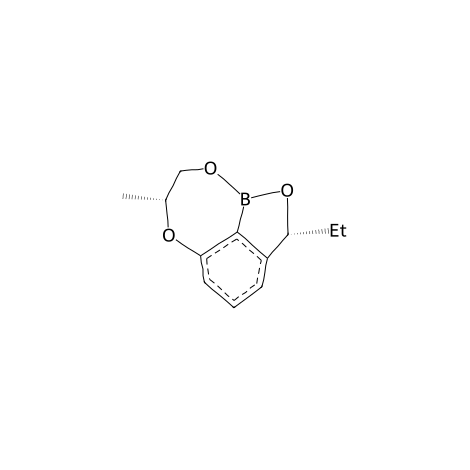 CC[C@H]1OB2OC[C@@H](C)Oc3cccc1c32